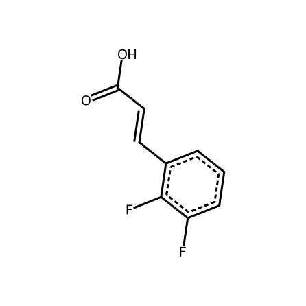 O=C(O)C=Cc1cccc(F)c1F